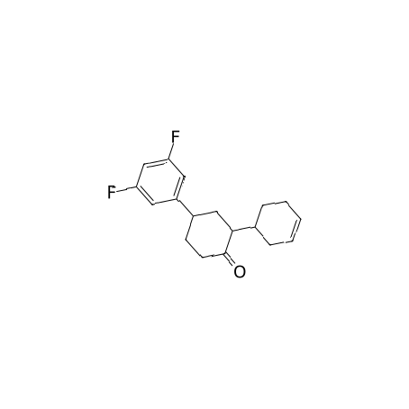 O=C1CCC(c2cc(F)cc(F)c2)CC1C1CC=CCC1